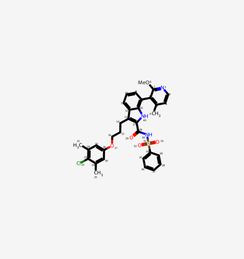 COc1nccc(C)c1-c1cccc2c(CCCOc3cc(C)c(Cl)c(C)c3)c(C(=O)NS(=O)(=O)c3ccccc3)[nH]c12